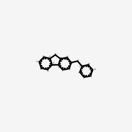 c1ccc(Cc2ccc3c(c2)Cc2ccccc2-3)cc1